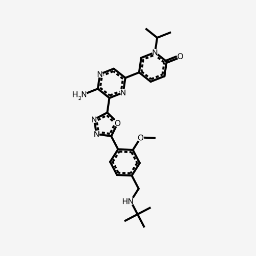 COc1cc(CNC(C)(C)C)ccc1-c1nnc(-c2nc(-c3ccc(=O)n(C(C)C)c3)cnc2N)o1